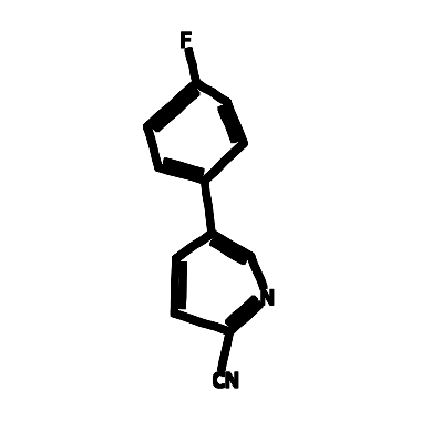 N#Cc1ccc(-c2ccc(F)cc2)cn1